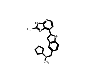 Cc1nc2c(C3Cc4cc(CN(C)C5CCCC5)ccc4N3)ccnc2[nH]1